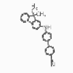 CC1(C)c2ccccc2-c2ccc(Nc3ccc(-c4ccc(C#N)cc4)cc3)cc21